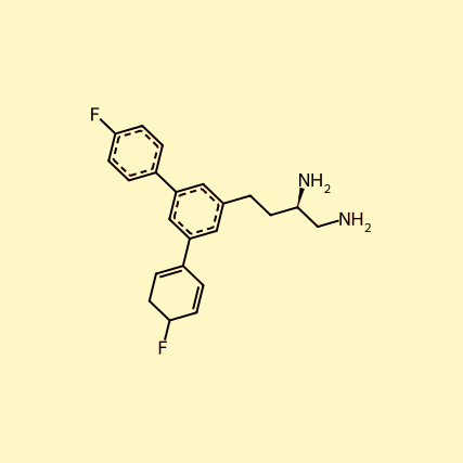 NC[C@H](N)CCc1cc(C2=CCC(F)C=C2)cc(-c2ccc(F)cc2)c1